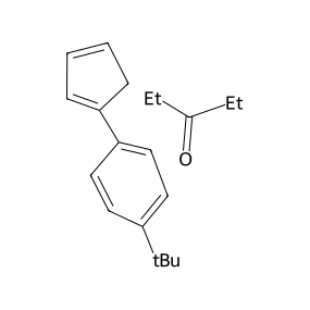 CC(C)(C)c1ccc(C2=CC=CC2)cc1.CCC(=O)CC